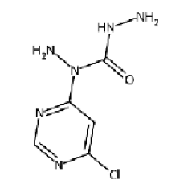 NNC(=O)N(N)c1cc(Cl)ncn1